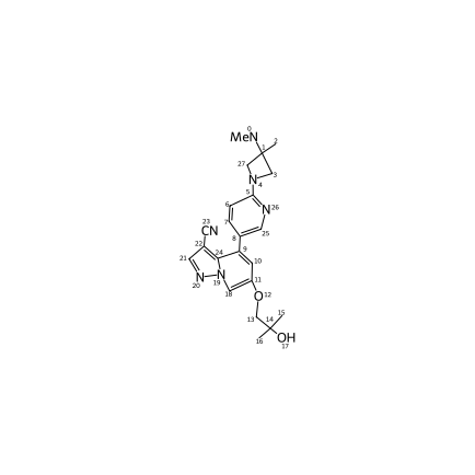 CNC1(C)CN(c2ccc(-c3cc(OCC(C)(C)O)cn4ncc(C#N)c34)cn2)C1